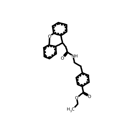 CCOC(=O)c1ccc(CCNC(=O)CC2c3ccccc3Oc3ccccc32)cc1